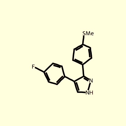 CSc1ccc(-c2n[nH]cc2-c2ccc(F)cc2)cc1